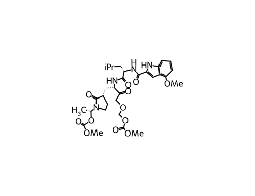 COC(=O)OCOCC(=O)[C@H](C[C@@H]1CCN([C@@H](C)OC(=O)OC)C1=O)NC(=O)[C@H](CC(C)C)NC(=O)c1cc2c(OC)cccc2[nH]1